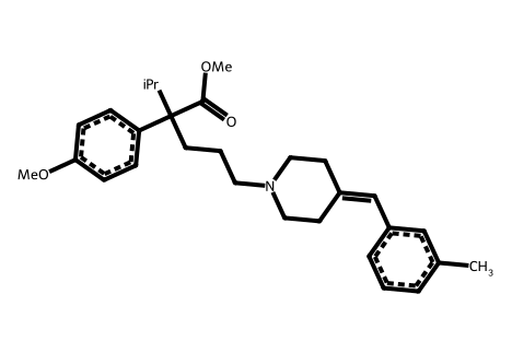 COC(=O)C(CCCN1CCC(=Cc2cccc(C)c2)CC1)(c1ccc(OC)cc1)C(C)C